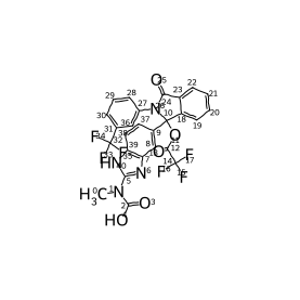 CN(C(=O)O)c1nc2cc(C3(OC(=O)C(F)(F)F)c4ccccc4C(=O)N3c3cccc(C(F)(F)F)c3)ccc2[nH]1